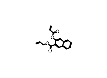 C=CCOC(=O)c1cc2ccccc2cc1OC(=O)C=C